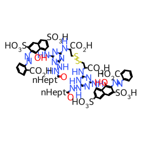 CCCCCCCC(=O)NNc1nc(Nc2cc(S(=O)(=O)O)cc3cc(S(=O)(=O)O)c(/N=N/c4ccccc4C(=O)O)c(O)c23)nc(NC(CSSCC(Nc2nc(NNC(=O)CCCCCCC)nc(Nc3cc(S(=O)(=O)O)cc4cc(S(=O)(=O)O)c(/N=N/c5ccccc5C(=O)O)c(O)c34)n2)C(=O)O)C(=O)O)n1